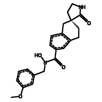 COc1cccc(CN(O)C(=O)c2ccc3c(c2)CC[C@@]2(CCNC2=O)C3)c1